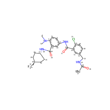 CN(C)c1ccc(NC(=O)c2cc(CNC(=O)C(C)(C)C)ccc2Cl)cc1C(=O)N[C@H]1CC[C@H](C(F)(F)F)CC1